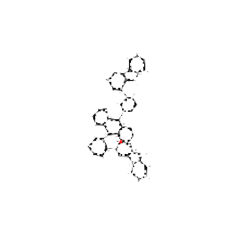 c1cc(-c2c3ccccc3c(-c3ccccc3-c3ccc4oc5ccccc5c4c3)c3ccccc23)cc(-c2cccc3c2oc2ccccc23)c1